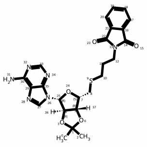 CC1(C)O[C@@H]2[C@@H](O1)[C@@H](CSCCCN1C(=O)c3ccccc3C1=O)O[C@H]2n1cnc2c(N)ncnc21